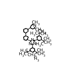 Cc1cc(-c2cccc(-c3cccc(-c4nc(-c5cc(C(C)(C)C)cc(C(C)(C)C)c5)nc(-c5cc(C(C)(C)C)cc(C(C)(C)C)c5)n4)c3)c2)cc(C)n1